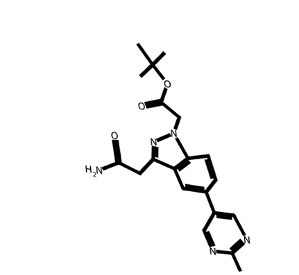 Cc1ncc(-c2ccc3c(c2)c(CC(N)=O)nn3CC(=O)OC(C)(C)C)cn1